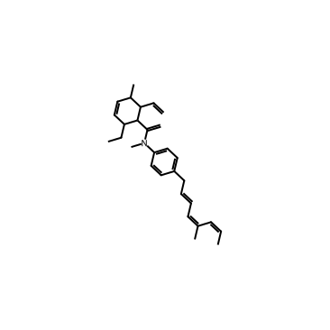 C=CC1C(C)C=CC(CC)C1C(=C)N(C)c1ccc(C/C=C/C=C(C)\C=C/C)cc1